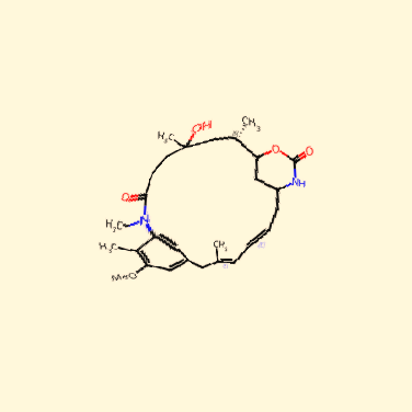 COc1cc2cc(c1C)N(C)C(=O)CCC(C)(O)C[C@H](C)C1CC(C/C=C/C=C(\C)C2)NC(=O)O1